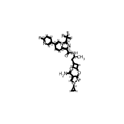 C[C@@H](CC1CC(Oc2nn(C3CC3)cc2C(N)=O)C1)NC(=O)c1nc(C(F)(F)F)n2cc(-c3ccc(F)nc3)ccc12